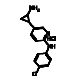 Cl.NC1CC1c1ccc(Nc2ccc(Cl)cc2)nc1